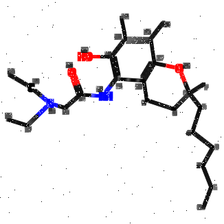 CCCCCCC1(C)CCc2c(NC(=O)CN(CC)CC)c(O)c(C)c(C)c2O1